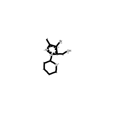 Cc1nn(C2CCCCO2)c(CO)c1Br